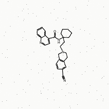 N#Cc1ccc2c(c1)CCN(CCC1(NC(=O)c3ccnc4ccccc34)CCCCC1)C2